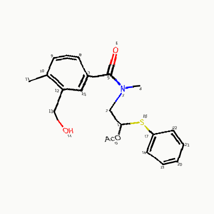 CC(=O)OC(CN(C)C(=O)c1ccc(C)c(CO)c1)Sc1ccccc1